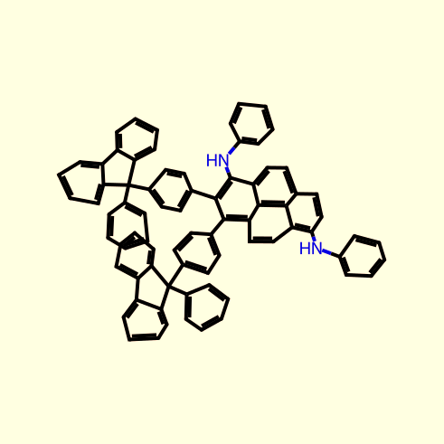 c1ccc(Nc2ccc3ccc4c(Nc5ccccc5)c(-c5ccc(C6(c7ccccc7)c7ccccc7-c7ccccc76)cc5)c(-c5ccc(C6(c7ccccc7)c7ccccc7-c7ccccc76)cc5)c5ccc2c3c45)cc1